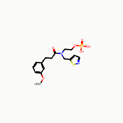 CCCCCCCCCCOc1cccc(CCC(=O)N(CCOP(=O)(O)O)Cc2ccns2)c1